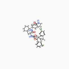 CC(C)(c1cccc(Cl)c1)C(OC(=O)NC(CC1CCCCC1)C(=O)NC(C=O)CC1CCNC1=O)c1cccc(F)c1